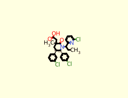 CCC(c1cccc(Cl)n1)N1C(=O)[C@@](C)(CC(=O)O)C[C@H](c2cccc(Cl)c2)[C@H]1c1ccc(Cl)cc1